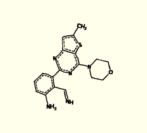 Cc1cc2nc(-c3cccc(N)c3C=N)nc(N3CCOCC3)c2s1